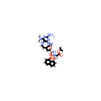 CC(C)OC(=O)[C@H](C)N[P@](=O)(OC[C@@H]1CC2C/C=N\c3c(nc(N)nc3N(C)C)N[C@@H]2O1)Oc1cccc2ccccc12